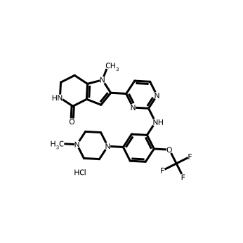 CN1CCN(c2ccc(OC(F)(F)F)c(Nc3nccc(-c4cc5c(n4C)CCNC5=O)n3)c2)CC1.Cl